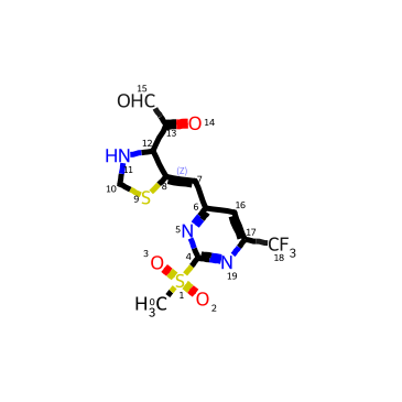 CS(=O)(=O)c1nc(/C=C2\SCNC2C(=O)C=O)cc(C(F)(F)F)n1